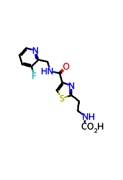 O=C(O)NCCc1nc(C(=O)NCc2ncccc2F)cs1